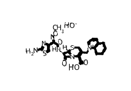 CO/N=C(\C(=O)N[C@@H]1C(=O)N2C(C(=O)O)=C(C[n+]3cccc4c3CCCC4)CS[C@H]12)c1csc(N)n1.[OH-]